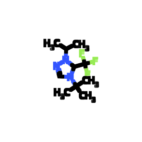 CC(C)N1N=CN(C(C)(C)C)C1C(F)(F)F